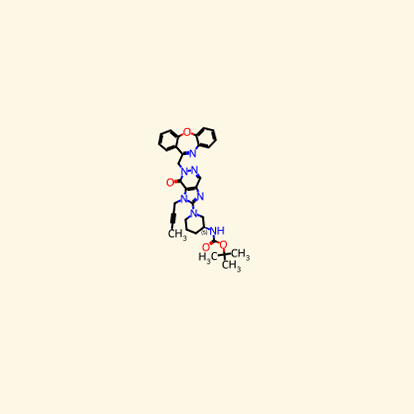 CC#CCn1c(N2CCC[C@H](NC(=O)OC(C)(C)C)C2)nc2cnn(CC3=Nc4ccccc4Oc4ccccc43)c(=O)c21